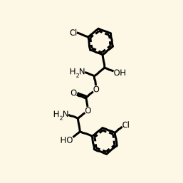 NC(OC(=O)OC(N)C(O)c1cccc(Cl)c1)C(O)c1cccc(Cl)c1